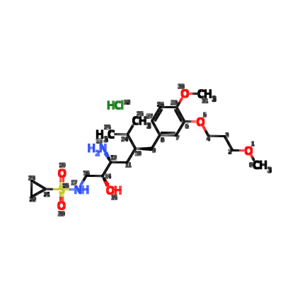 COCCCOc1cc(C[C@@H](C[C@H](N)[C@@H](O)CNS(=O)(=O)C2CC2)C(C)C)ccc1OC.Cl